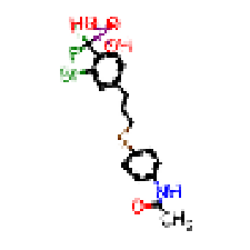 CC(=O)Nc1ccc(SCCCc2ccc(C(F)(F)P(=O)(O)O)c(Br)c2)cc1